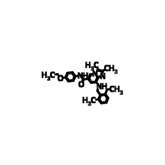 CCOc1ccc(NC(=O)c2cc(NCc3c(C)cccc3CC)c3nc(C)c(C)n3c2)cc1